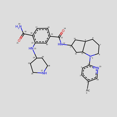 CC(=O)c1ccc(N2CCCC3CC(NC(=O)c4ccc(C(N)=O)c(NC5CCNCC5)c4)CC32)nc1